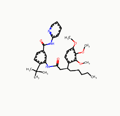 CCCCCC(CC(=O)Nc1cc(C(=O)Nc2ccccn2)ccc1C(C)(C)C)c1ccc(OC)c(OC)c1OC